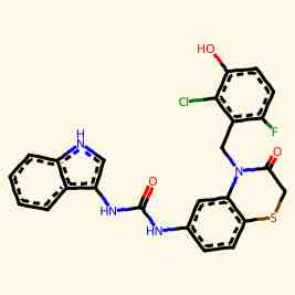 O=C(Nc1ccc2c(c1)N(Cc1c(F)ccc(O)c1Cl)C(=O)CS2)Nc1c[nH]c2ccccc12